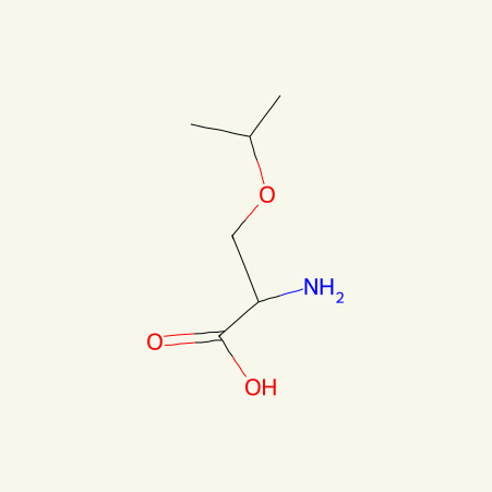 CC(C)OCC(N)C(=O)O